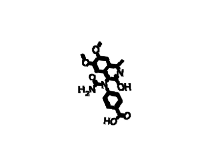 COc1cc2c(C)nc(O)c(N(C(N)=O)c3ccc(C(=O)O)cc3)c2cc1OC